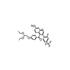 CCOC(COc1ccc(C(=O)c2c(-c3ccc(C(F)(F)F)cc3F)cnc3cc(O)ccc23)cc1)OCC